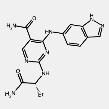 CC[C@@H](Nc1ncc(C(N)=O)c(Nc2ccc3cn[nH]c3c2)n1)C(N)=O